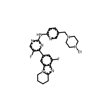 CCN1CCN(Cc2ccc(Nc3ncc(F)c(-c4cc(F)c5nc6n(c5c4)CCCC6)n3)nc2)CC1